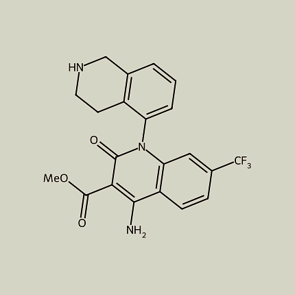 COC(=O)c1c(N)c2ccc(C(F)(F)F)cc2n(-c2cccc3c2CCNC3)c1=O